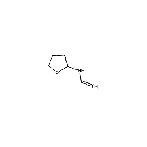 C=CNC1CCCO1